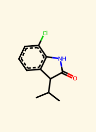 CC(C)C1C(=O)Nc2c(Cl)cccc21